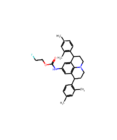 Cc1ccc(C2CCN3CCC(c4ccc(C)cc4C)c4cc(NC(=O)OCCF)cc2c43)c(C)c1